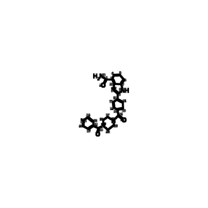 NC(=O)c1cccc2[nH]c(-c3ccc(C(=O)N4CCN(C(=O)c5ccncc5)CC4)cc3)nc12